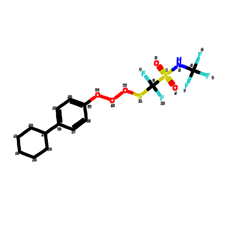 O=S(=O)(NC(F)(F)F)C(F)(F)SOOOc1ccc(C2CCCCC2)cc1